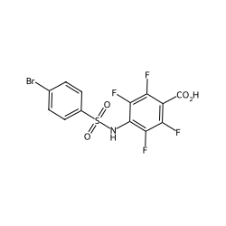 O=C(O)c1c(F)c(F)c(NS(=O)(=O)c2ccc(Br)cc2)c(F)c1F